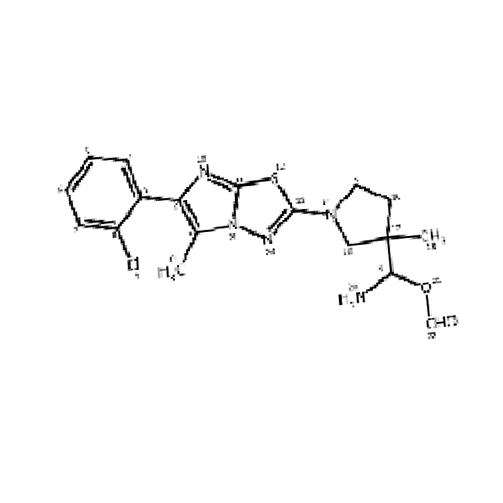 Cc1c(-c2ccccc2Cl)nc2sc(N3CCC(C)(C(N)OC=O)C3)nn12